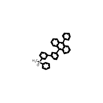 CP(=O)(c1ccccc1)c1cccc(-c2cccc(-c3c4ccccc4c(-c4ccccc4)c4ccccc34)c2)c1